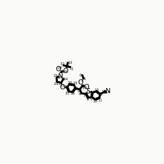 CCOC(=O)C(Cc1cc2ccc(C#N)cc2s1)c1ccc(O[C@H]2CCN(C(=O)OC(C)(C)C)C2)cc1